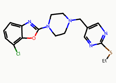 CCSc1ncc(CN2CCN(c3nc4cccc(Cl)c4o3)CC2)cn1